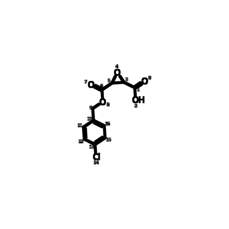 O=C(O)C1OC1C(=O)OCc1ccc(Cl)cc1